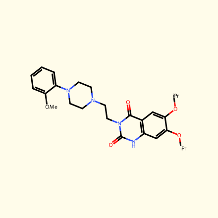 COc1ccccc1N1CCN(CCn2c(=O)[nH]c3cc(OC(C)C)c(OC(C)C)cc3c2=O)CC1